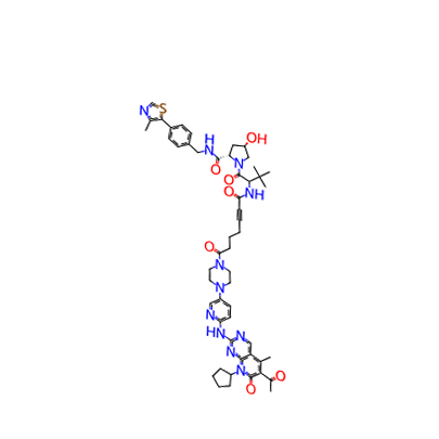 CC(=O)c1c(C)c2cnc(Nc3ccc(N4CCN(C(=O)CCCC#CC(=O)NC(C(=O)N5C[C@H](O)C[C@H]5C(=O)NCc5ccc(-c6scnc6C)cc5)C(C)(C)C)CC4)cn3)nc2n(C2CCCC2)c1=O